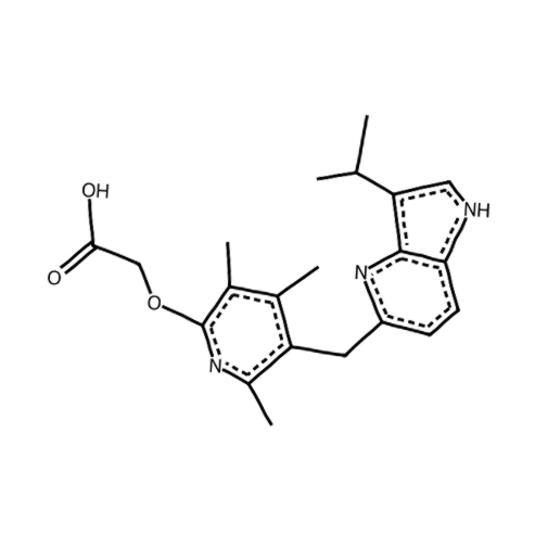 Cc1nc(OCC(=O)O)c(C)c(C)c1Cc1ccc2[nH]cc(C(C)C)c2n1